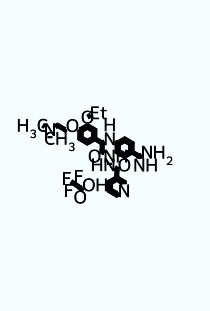 CCOc1cc(C(Nc2ccc(C(=N)N)cc2)C(=O)NNC(=O)c2cccnc2)ccc1OCCN(C)C.O=C(O)C(F)(F)F